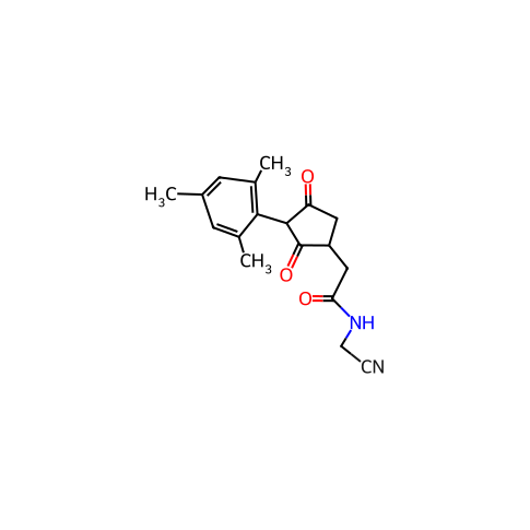 Cc1cc(C)c(C2C(=O)CC(CC(=O)NCC#N)C2=O)c(C)c1